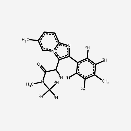 [2H]c1c([2H])c(-c2nc3ccc(C)cn3c2C([2H])C(=O)N(C)C([2H])([2H])[2H])c([2H])c([2H])c1C